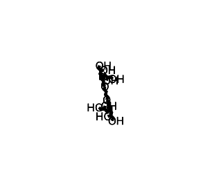 OCC(O)CN(CCCOCCCCOCCCN(CC(O)CO)CC(O)CO)CC(O)CO